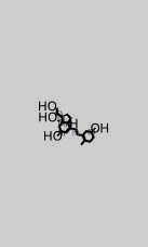 CC1=C(/C=C/C2=C[C@@H](O)C[C@]3(C)[C@@H]([C@H](O)CO)CC[C@@H]23)C[C@@H](O)CC1